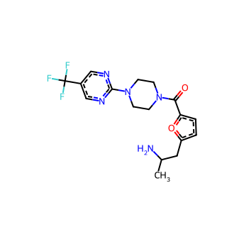 CC(N)Cc1ccc(C(=O)N2CCN(c3ncc(C(F)(F)F)cn3)CC2)o1